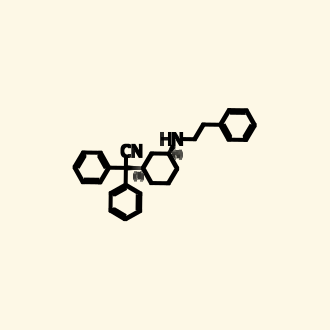 N#CC(c1ccccc1)(c1ccccc1)[C@@H]1CCC[C@H](NCCc2ccccc2)C1